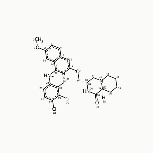 COc1ccc2nc(OC[C@@H]3CN4CCCC[C@H]4C(=O)N3)nc(Nc3ccc(Cl)c(Cl)c3F)c2c1